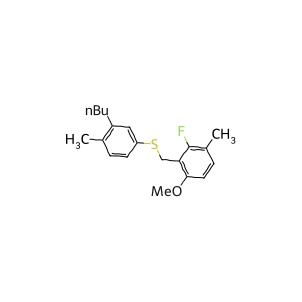 CCCCc1cc(SCc2c(OC)ccc(C)c2F)ccc1C